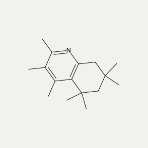 Cc1nc2c(c(C)c1C)C(C)(C)CC(C)(C)C2